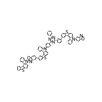 c1ccc(-c2nc(-c3ccc(-n4c5ccccc5c5c6c(ccc54)sc4ccc(-c5ccc7oc(-n8c9ccccc9c9c%10c(ccc98)sc8ccccc8%10)nc7c5)cc46)cc3)nc(-c3cccc(-c4ccc5sc6ccc7c(c8ccccc8n7-c7ccc8ocnc8c7)c6c5c4)c3)n2)cc1